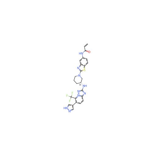 C=CC(=O)Nc1ccc2sc(N3CCC[C@@H](Nc4nc5ccc(-c6cn[nH]c6)c(C(F)(F)F)n5n4)C3)nc2c1